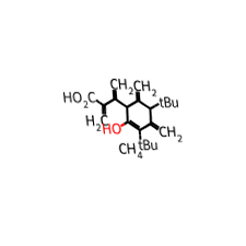 C.C=C(C(=C)C1C(=C)C(C(C)(C)C)C(=C)C(C(C)(C)C)=C1O)C(=O)O